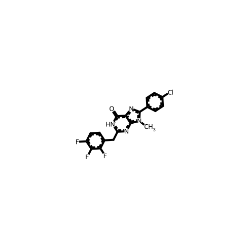 Cn1c(-c2ccc(Cl)cc2)nc2c(=O)[nH]c(Cc3ccc(F)c(F)c3F)nc21